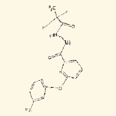 O=C(NNC(=O)C(F)(F)C(F)(F)F)c1cccc(Oc2cccc(C(F)(F)F)c2)n1